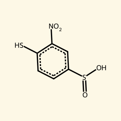 O=[N+]([O-])c1cc(S(=O)O)ccc1S